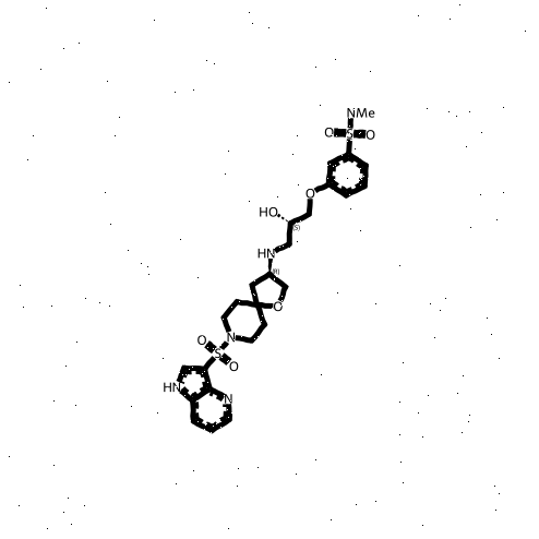 CNS(=O)(=O)c1cccc(OC[C@@H](O)CN[C@H]2COC3(CCN(S(=O)(=O)c4c[nH]c5cccnc45)CC3)C2)c1